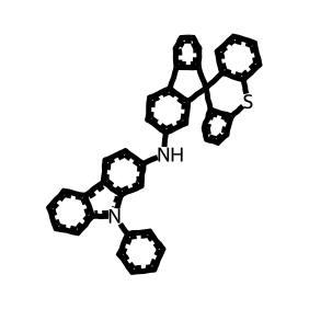 c1ccc(-n2c3ccccc3c3ccc(Nc4ccc5c(c4)C4(c6ccccc6Sc6ccccc64)c4ccccc4-5)cc32)cc1